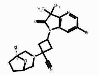 CC1(C)C(=O)N(C2CC(C#N)(N3CC4CC[C@@H](C3)O4)C2)c2cc(Br)cnc21